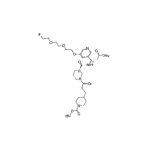 COC(=O)C[C@H](NC(=O)[C@@H]1CCCN(C(=O)CCC2CCN(C(=O)OC(C)(C)C)CC2)C1)c1cncc(OCCOCCOCCF)c1